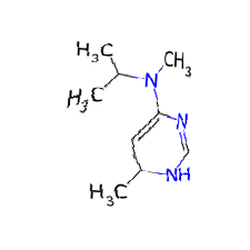 CC1C=C(N(C)C(C)C)N=CN1